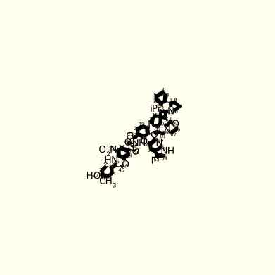 CC(C)c1ccccc1[C@@H]1CCCN1C1CC2(CCN(c3ccc(C(=O)NS(=O)(=O)c4cc5c(c([N+](=O)[O-])c4)N[C@@H]([C@H]4CC[C@](C)(O)CC4)CO5)c(Oc4cc5c(F)c[nH]c5nc4OCCN4CCOCC4)c3)CC2)C1